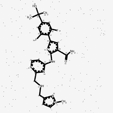 Cn1ccc(CNCc2nccc(Nc3sc(-c4c(F)cc(C(C)(C)O)cc4F)cc3C(N)=O)n2)n1